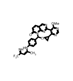 COc1ncnc(C2CC2)c1-c1ncc2ccc(=O)n(C(C)c3ccc(N/C(C)=C\C(=N)C(F)(F)F)cc3)c2n1